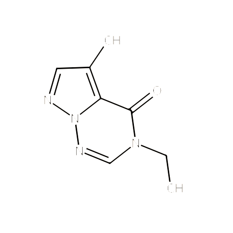 CCn1cnn2ncc(C)c2c1=O